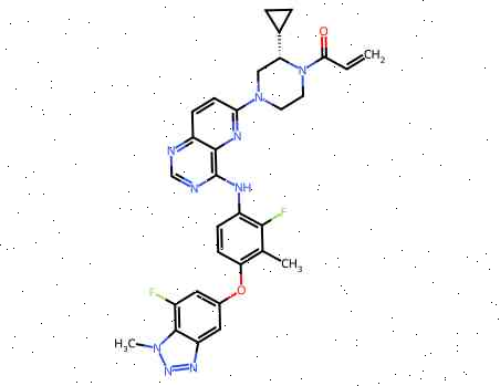 C=CC(=O)N1CCN(c2ccc3ncnc(Nc4ccc(Oc5cc(F)c6c(c5)nnn6C)c(C)c4F)c3n2)C[C@@H]1C1CC1